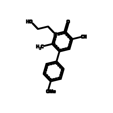 COc1ccc(-c2cc(C#N)c(=O)n(CCO)c2C)cc1